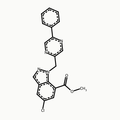 COC(=O)c1cc(Cl)cc2cnn(Cc3cnc(-c4ccccc4)cn3)c12